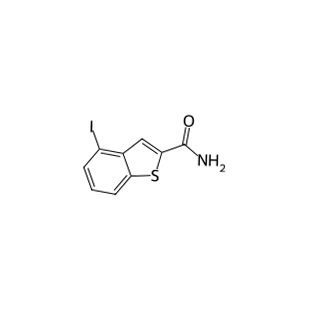 NC(=O)c1cc2c(I)cccc2s1